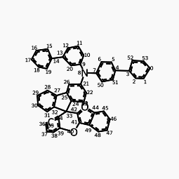 c1ccc(-c2ccc(N(c3cccc(-c4ccccc4)c3)c3ccc4c(c3)-c3ccccc3C43c4ccccc4Oc4c3oc3ccccc43)cc2)cc1